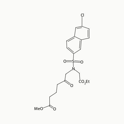 CCOC(=O)CN(CC(=O)CCCC(=O)OC)S(=O)(=O)c1ccc2cc(Cl)ccc2c1